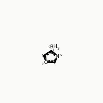 B.c1cocn1